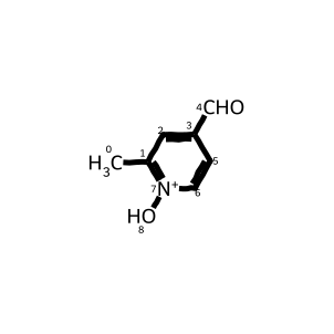 Cc1cc(C=O)cc[n+]1O